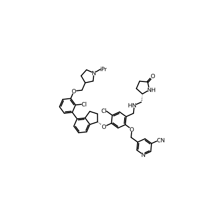 CC(C)N1CCC(COc2cccc(-c3cccc4c3CC[C@@H]4Oc3cc(OCc4cncc(C#N)c4)c(CNC[C@@H]4CCC(=O)N4)cc3Cl)c2Cl)C1